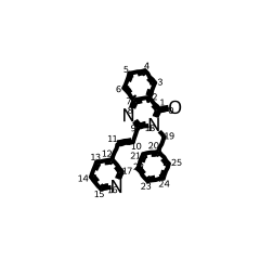 O=c1c2ccccc2nc(C=Cc2cccnc2)n1Cc1ccccc1